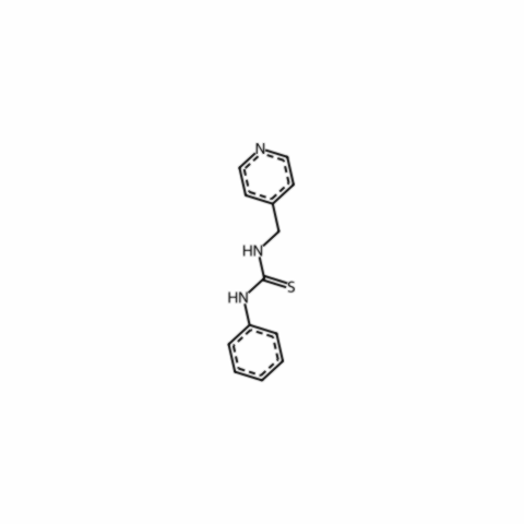 S=C(NCc1ccncc1)Nc1ccccc1